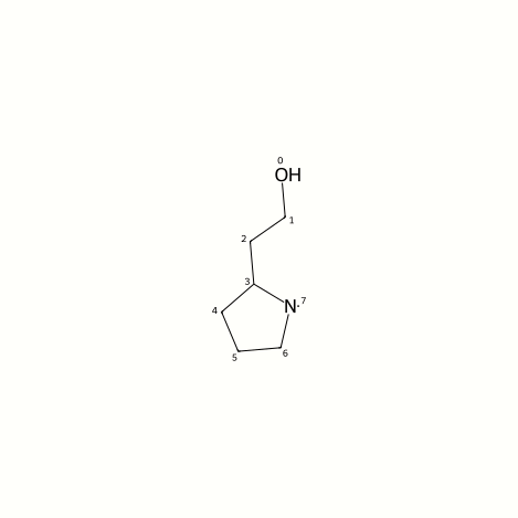 OCCC1CCC[N]1